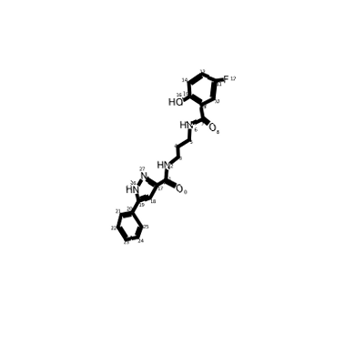 O=C(NCCCNC(=O)c1cc(F)ccc1O)c1cc(-c2ccccc2)[nH]n1